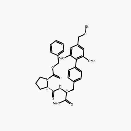 CCOCc1cc(OC)c(-c2ccc(C[C@H](NC(=O)[C@@H]3CCCN3C(=O)OCc3ccccc3)C(=O)OC)cc2)c(OC)c1